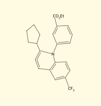 CCOC(=O)c1cccc(N2C(C3CCCC3)=C=Cc3cc(C(F)(F)F)ccc32)c1